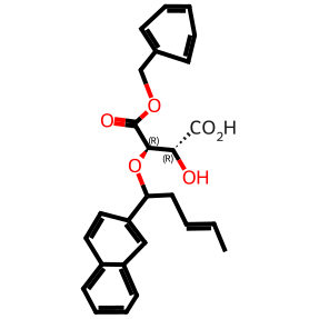 CC=CCC(O[C@@H](C(=O)OCc1ccccc1)[C@@H](O)C(=O)O)c1ccc2ccccc2c1